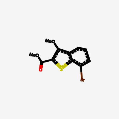 COC(=O)c1sc2c(Br)cccc2c1OC